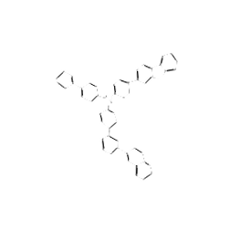 C1=C(c2ccc3c(c2)sc2ccccc23)CCC(N(c2ccc(-c3ccccc3)cc2)c2ccc(-c3cccc(-c4ccc5ccccc5c4)c3)cc2)=C1